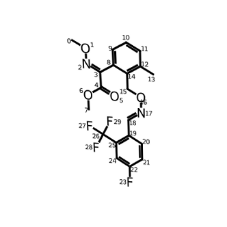 CO/N=C(/C(=O)OC)c1cccc(C)c1CO/N=C/c1ccc(F)cc1C(F)(F)F